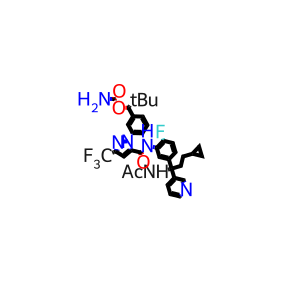 CC(=O)NC(CCC1CC1)(c1cccnc1)c1ccc(F)c(NC(=O)c2cc(C(F)(F)F)nn2-c2cccc(C(OC(N)=O)C(C)(C)C)c2)c1